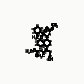 C#CCN(c1ccc(N(CC(=O)OC)S(=O)(=O)c2ccccc2C)c2ccccc12)[C@@H](C)CC(=O)OC